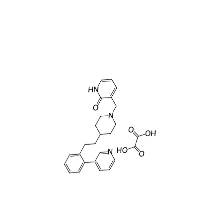 O=C(O)C(=O)O.O=c1[nH]cccc1CN1CCC(CCc2ccccc2-c2cccnc2)CC1